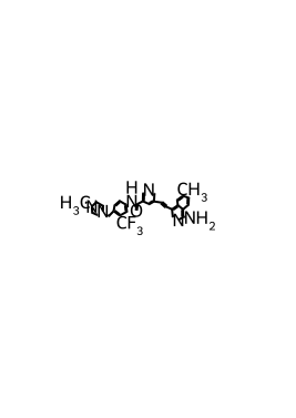 Cc1ccc2c(N)ncc(C#Cc3cncc(C(=O)Nc4ccc(CN5CCN(C)CC5)c(C(F)(F)F)c4)c3)c2c1